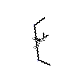 CCCCCCCC/C=C\CCCCCCCC(=O)OCC(COC(=O)CCCCCCC/C=C\CCCCCCCC)OC(=O)NCCN(CCC)CCC